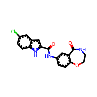 O=C(Nc1ccc2c(c1)C(=O)NCCO2)c1cc2cc(Cl)ccc2[nH]1